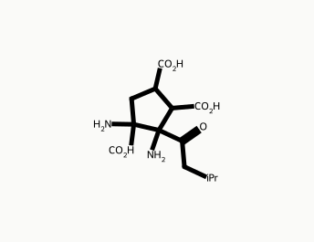 CC(C)CC(=O)C1(N)C(C(=O)O)C(C(=O)O)CC1(N)C(=O)O